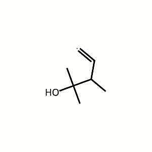 [CH]=CC(C)C(C)(C)O